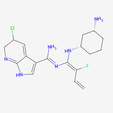 C=C/C(F)=C(\N=C(/N)c1c[nH]c2c1=CC(Cl)CN=2)N[C@H]1CCC[C@@H](N)C1